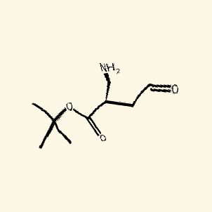 CC(C)(C)OC(=O)[C@@H](N)CC=O